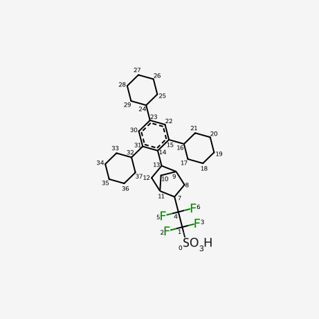 O=S(=O)(O)C(F)(F)C(F)(F)C1CC2CC1CC2c1c(C2CCCCC2)cc(C2CCCCC2)cc1C1CCCCC1